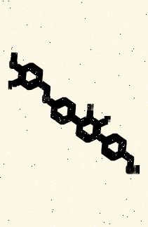 COc1ccc(COc2ccc(-c3ccc(-c4ccc(CO)cc4)c(F)c3F)cc2)cc1F